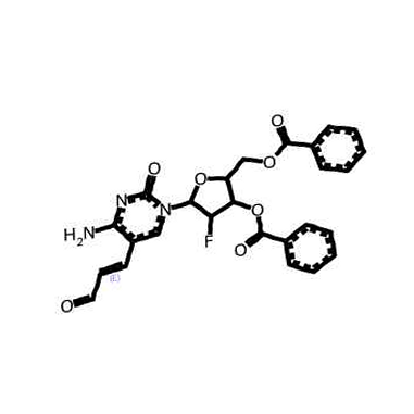 Nc1nc(=O)n(C2OC(COC(=O)c3ccccc3)C(OC(=O)c3ccccc3)C2F)cc1/C=C/C=O